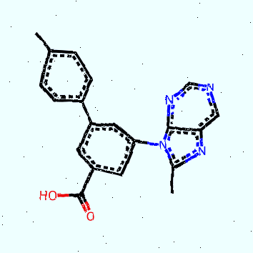 Cc1ccc(-c2cc(C(=O)O)cc(-n3c(C)nc4cncnc43)c2)cc1